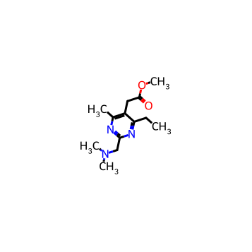 CCc1nc(CN(C)C)nc(C)c1CC(=O)OC